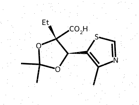 CC[C@]1(C(=O)O)OC(C)(C)O[C@@H]1c1scnc1C